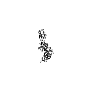 CN1CCN(S(=O)(=O)c2cccc3c2CN(c2cccc4c2C(=O)N(CCc2ccc5ccccc5n2)C4)CC3)CC1